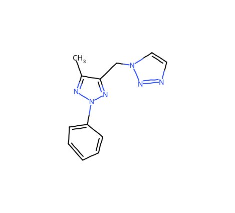 Cc1nn(-c2ccccc2)nc1Cn1ccnn1